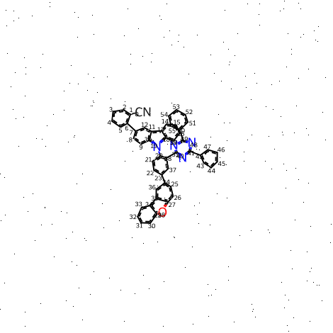 N#Cc1ccccc1-c1ccc2c(c1)c1ccccc1n2-c1ccc(-c2ccc3oc4ccccc4c3c2)cc1-c1nc(-c2ccccc2)nc(-c2ccccc2)n1